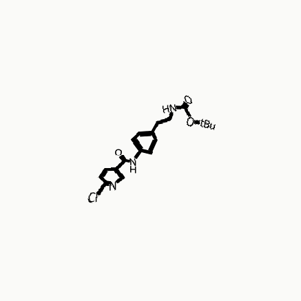 CC(C)(C)OC(=O)NCCc1ccc(NC(=O)c2ccc(Cl)nc2)cc1